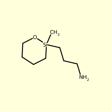 C[Si]1(CCCN)CCCCO1